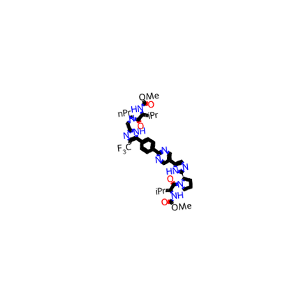 CCCN(Cc1nc(C(F)(F)F)c(-c2ccc(-c3ncc(-c4cnc([C@@H]5CCCN5C(=O)C(NC(=O)OC)C(C)C)[nH]4)cn3)cc2)[nH]1)C(=O)C(NC(=O)OC)C(C)C